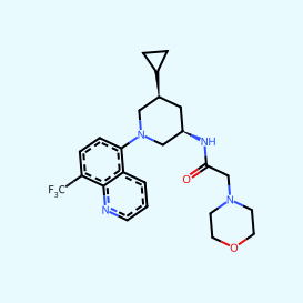 O=C(CN1CCOCC1)N[C@@H]1C[C@H](C2CC2)CN(c2ccc(C(F)(F)F)c3ncccc23)C1